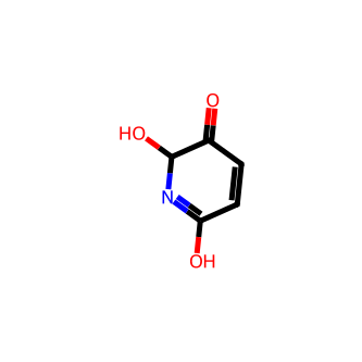 O=C1C=CC(O)=NC1O